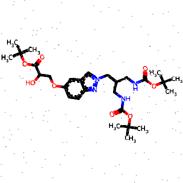 CC(C)(C)OC(=O)NCC(CNC(=O)OC(C)(C)C)Cn1cc2cc(OCC(O)C(=O)OC(C)(C)C)ccc2n1